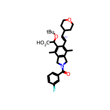 Cc1c(/C=C/C2CCOCC2)c(C(OC(C)(C)C)C(=O)O)c(C)c2c1CN(C(=O)c1cccc(F)c1)C2